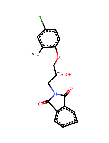 CC(=O)Oc1cc(Cl)ccc1OC[C@H](O)CN1C(=O)c2ccccc2C1=O